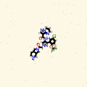 CN1CCC2CN(C(=O)Cn3cc(NC(=O)c4cnn5cccnc45)c(-c4cc(Cl)ccc4OC(F)F)n3)CC2C1